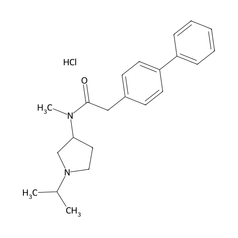 CC(C)N1CCC(N(C)C(=O)Cc2ccc(-c3ccccc3)cc2)C1.Cl